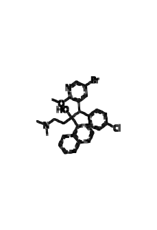 COc1ncc(Br)cc1C(c1ccc(Cl)cc1)C(O)(CCN(C)C)c1cccc2ccccc12